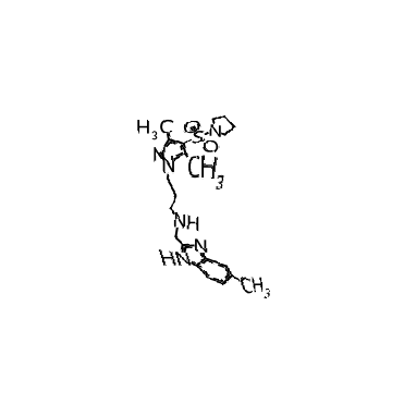 Cc1ccc2[nH]c(CNCCCn3nc(C)c(S(=O)(=O)N4CCCC4)c3C)nc2c1